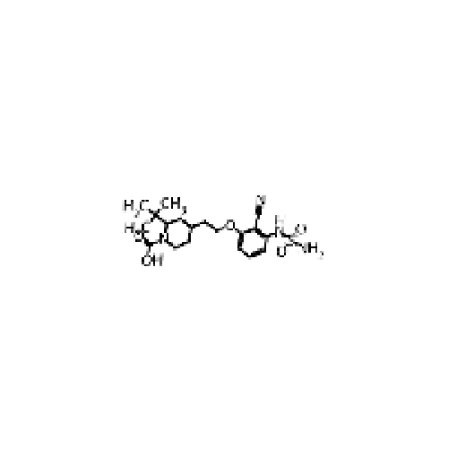 CC(C)(C)C1CC(CCOc2cccc(NS(N)(=O)=O)c2C#N)CCN1C(=O)O